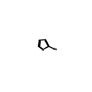 Oc1c[c]cs1